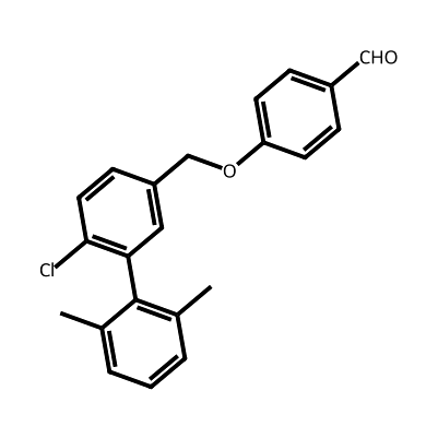 Cc1cccc(C)c1-c1cc(COc2ccc(C=O)cc2)ccc1Cl